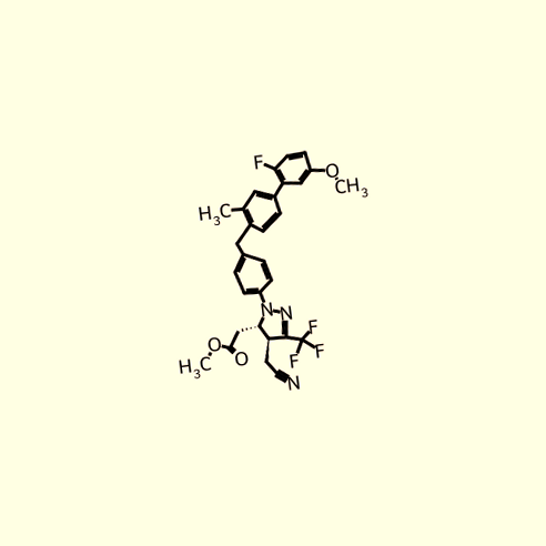 COC(=O)C[C@H]1[C@H](CC#N)C(C(F)(F)F)=NN1c1ccc(Cc2ccc(-c3cc(OC)ccc3F)cc2C)cc1